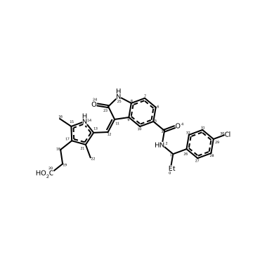 CCC(NC(=O)c1ccc2c(c1)C(=Cc1[nH]c(C)c(CCC(=O)O)c1C)C(=O)N2)c1ccc(Cl)cc1